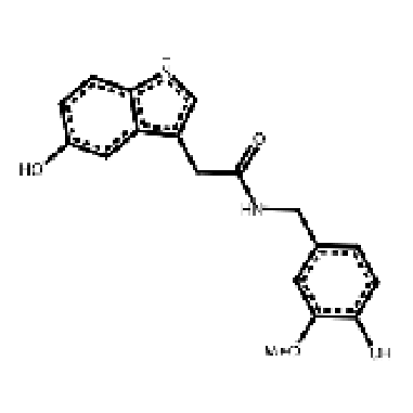 COc1cc(CNC(=O)Cc2c[nH]c3ccc(O)cc23)ccc1O